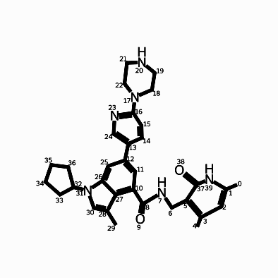 Cc1cc(C)c(CNC(=O)c2cc(-c3ccc(N4CCNCC4)nc3)cc3c2c(C)cn3C2CCCC2)c(=O)[nH]1